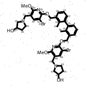 COc1nc(OCc2cccc(-c3cccc(COc4nc(OC)c(CN5CCC(O)C5)cc4Br)c3C)c2C)c(Br)cc1CN1CCC(O)C1